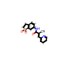 N#C/C(=C\c1ccccn1)C(=O)Nc1ccc2c(c1)S(=O)(=O)C=C2